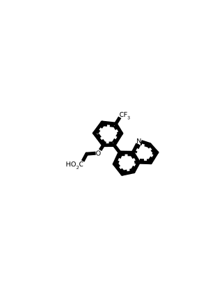 O=C(O)COc1ccc(C(F)(F)F)cc1-c1cccc2cccnc12